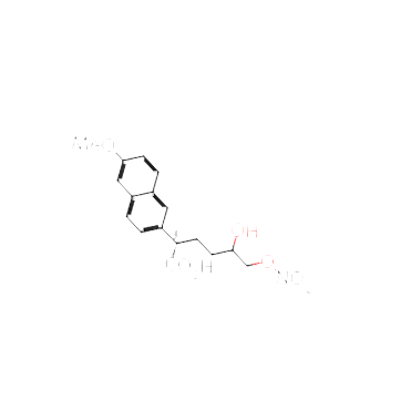 COc1ccc2cc([C@@H](CCC(O)CO[N+](=O)[O-])C(=O)O)ccc2c1